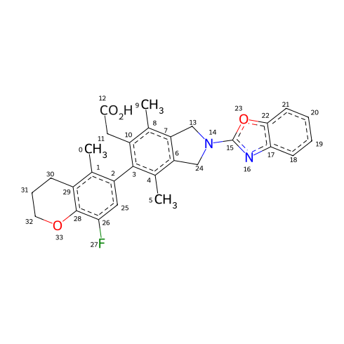 Cc1c(-c2c(C)c3c(c(C)c2CC(=O)O)CN(c2nc4ccccc4o2)C3)cc(F)c2c1CCCO2